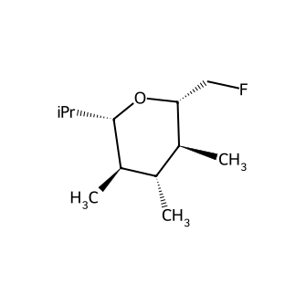 CC(C)[C@@H]1O[C@H](CF)[C@@H](C)[C@H](C)[C@H]1C